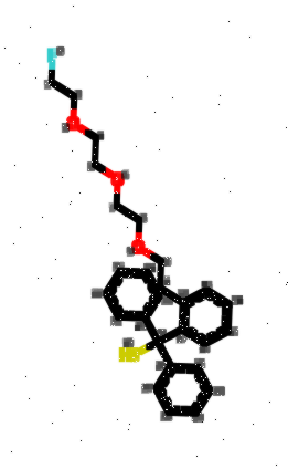 FCCOCCOCCOCCc1ccccc1C(S)(c1ccccc1)c1ccccc1